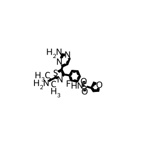 CC(C)(N)c1nc(-c2cccc(NS(=O)(=O)c3ccoc3)c2F)c(-c2ccnc(N)n2)s1